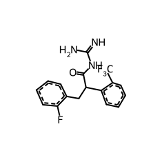 N=C(N)NC(=O)C(Cc1ccccc1F)c1ccccc1C(F)(F)F